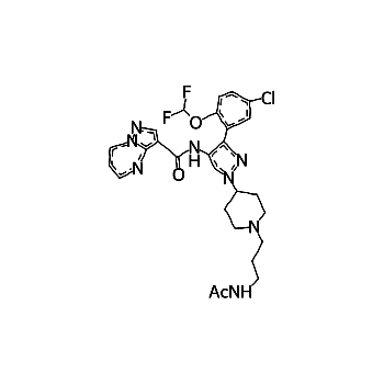 CC(=O)NCCCN1CCC(n2cc(NC(=O)c3cnn4cccnc34)c(-c3cc(Cl)ccc3OC(F)F)n2)CC1